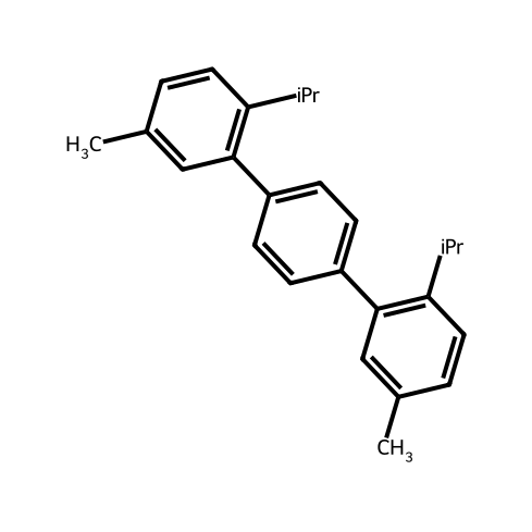 Cc1ccc(C(C)C)c(-c2ccc(-c3cc(C)ccc3C(C)C)cc2)c1